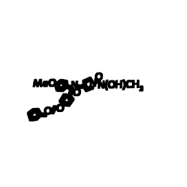 COc1ccc(-c2nc(C3CCN(C(=O)N(C)O)CC3)oc2-c2ccc(OCCOCc3ccccc3)cc2)cc1